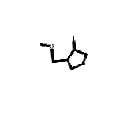 COCC1CCCC1I